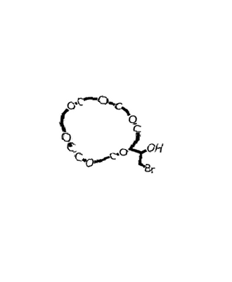 OC(CBr)C1CCOCCOCCOCCOCCOCCO1